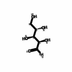 [2H]C(=O)[C@H](O)[C@@H](O)[C@@H](O)CO